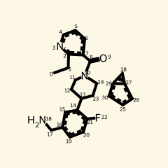 CCc1ncccc1C(=O)N1CCC(c2cc(CN)ccc2F)CC1.c1cc2cc-2c1